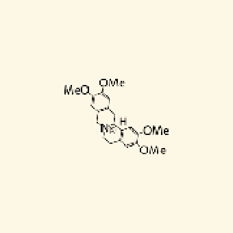 COc1cc2c(cc1OC)CN1CCc3cc(OC)c(OC)cc3[C@@H]1C2